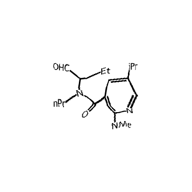 CCCN(C(=O)c1cc(C(C)C)cnc1NC)C(C=O)CC